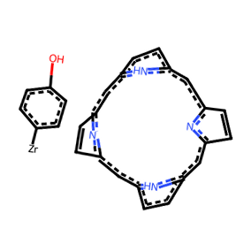 C1=Cc2cc3ccc(cc4nc(cc5ccc(cc1n2)[nH]5)C=C4)[nH]3.Oc1cc[c]([Zr])cc1